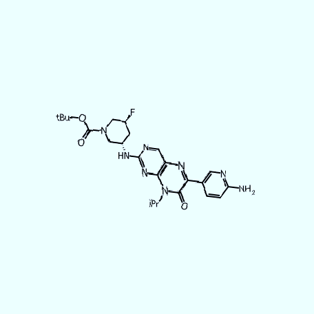 CC(C)n1c(=O)c(-c2ccc(N)nc2)nc2cnc(N[C@H]3C[C@H](F)CN(C(=O)OC(C)(C)C)C3)nc21